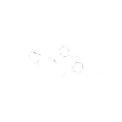 N=C(CNC(=O)c1cccc(Oc2cc(CN)cc(C(F)(F)F)n2)c1)/N=N\N